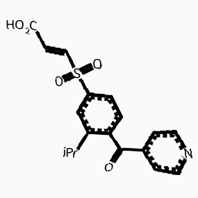 CC(C)c1cc(S(=O)(=O)C=CC(=O)O)ccc1C(=O)c1ccncc1